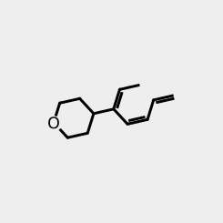 C=C/C=C\C(=C/C)C1CCOCC1